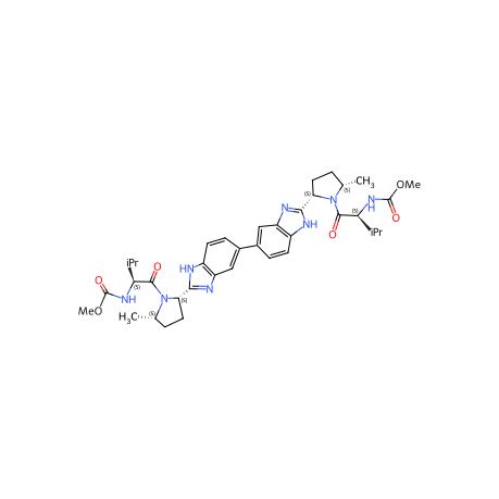 COC(=O)N[C@H](C(=O)N1[C@@H](C)CC[C@H]1c1nc2cc(-c3ccc4[nH]c([C@@H]5CC[C@H](C)N5C(=O)[C@@H](NC(=O)OC)C(C)C)nc4c3)ccc2[nH]1)C(C)C